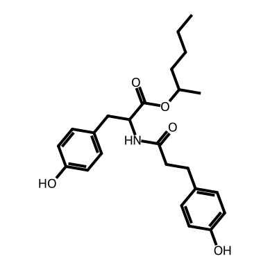 CCCCC(C)OC(=O)C(Cc1ccc(O)cc1)NC(=O)CCc1ccc(O)cc1